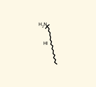 CCCCCCCCCCCCCCCCCC(C)(C)N.I